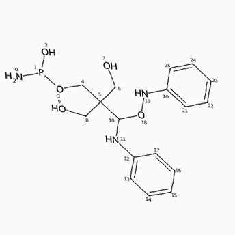 NP(O)OCC(CO)(CO)C(Nc1ccccc1)ONc1ccccc1